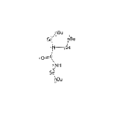 CCCC[Se]NC(=O)N([Se]CCCC)[Se]CCCC